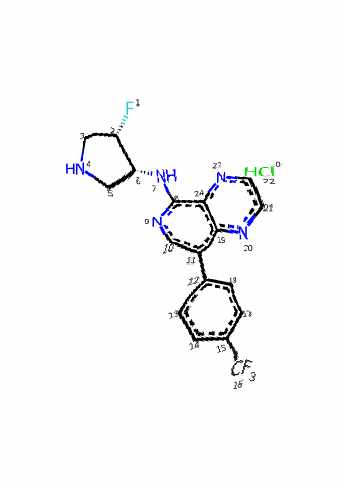 Cl.F[C@H]1CNC[C@H]1Nc1ncc(-c2ccc(C(F)(F)F)cc2)c2nccnc12